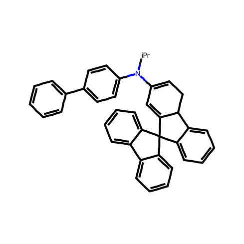 CC(C)N(C1=CCC2C(=C1)C1(c3ccccc3-c3ccccc31)c1ccccc12)c1ccc(-c2ccccc2)cc1